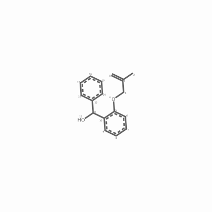 C=C(C)COc1ccccc1C(O)c1ccccc1